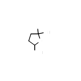 CC1(C)CCC(C(=O)O)O1